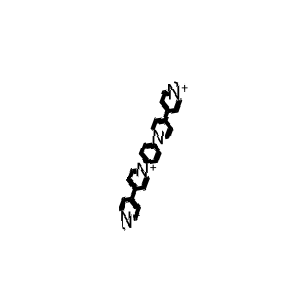 C[n+]1ccc(-c2cc[n+](-c3ccc(-[n+]4ccc(-c5cc[n+](C)cc5)cc4)cc3)cc2)cc1